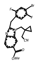 COC(=O)c1ccc2nc(Cc3cc(F)c(Br)cc3F)n(CC3(CC#N)CC3)c2c1